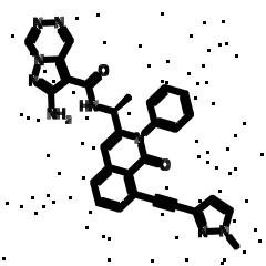 C[C@H](NC(=O)c1c(N)nn2cnncc12)c1cc2cccc(C#Cc3ccn(C)n3)c2c(=O)n1-c1ccccc1